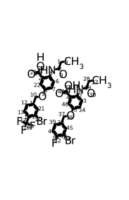 CCC(=O)Nc1ccc(OCc2ccc(C(F)(F)F)c(Br)c2)cc1C(=O)O.CCC(=O)Nc1ccc(OCc2ccc(F)c(Br)c2)cc1C(=O)O